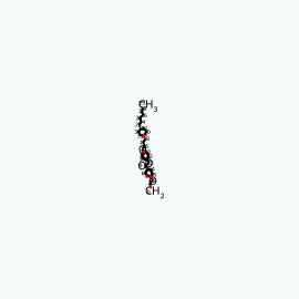 C=CCOc1ccc(C(=O)Oc2ccc(OCCC[C@H]3CC[C@H](CCCCCCC)CC3)cc2)cc1